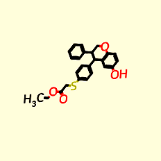 CCOC(=O)CSc1ccc(C2c3cc(O)ccc3OCC2c2ccccc2)cc1